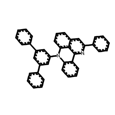 c1ccc(-c2cc(-c3ccccc3)cc(N3c4ccccc4-c4nc(-c5ccccc5)cc5cccc3c45)c2)cc1